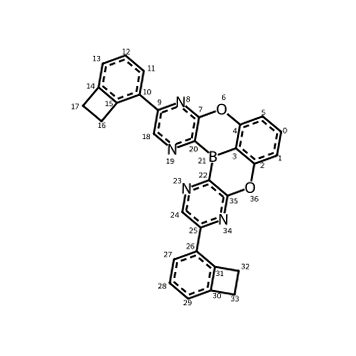 c1cc2c3c(c1)Oc1nc(-c4cccc5c4CC5)cnc1B3c1ncc(-c3cccc4c3CC4)nc1O2